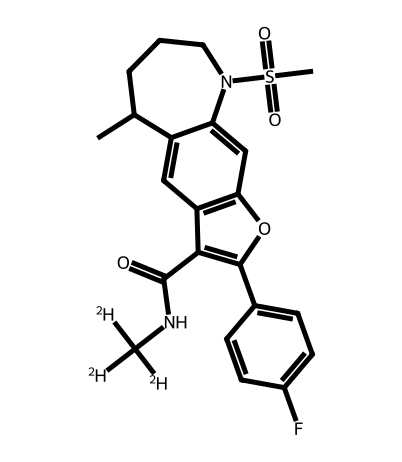 [2H]C([2H])([2H])NC(=O)c1c(-c2ccc(F)cc2)oc2cc3c(cc12)C(C)CCCN3S(C)(=O)=O